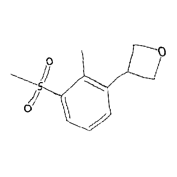 Cc1c(C2COC2)cccc1S(C)(=O)=O